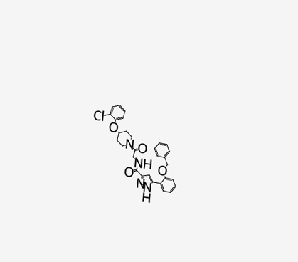 O=C(NCC(=O)N1CCC(Oc2ccccc2Cl)CC1)c1cc(-c2ccccc2OCc2ccccc2)[nH]n1